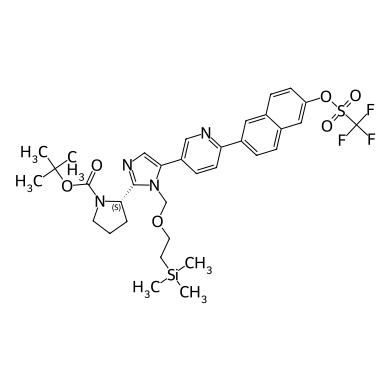 CC(C)(C)OC(=O)N1CCC[C@H]1c1ncc(-c2ccc(-c3ccc4cc(OS(=O)(=O)C(F)(F)F)ccc4c3)nc2)n1COCC[Si](C)(C)C